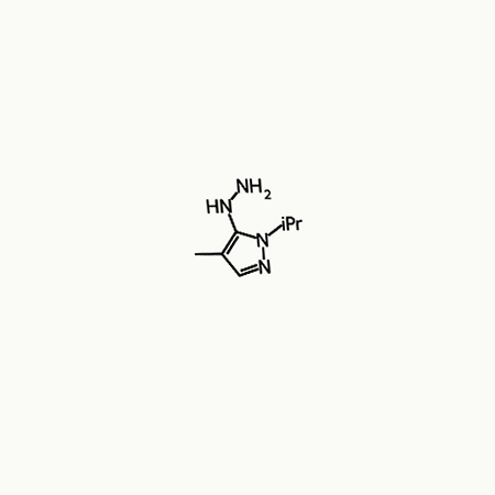 Cc1cnn(C(C)C)c1NN